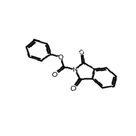 O=C(Oc1ccccc1)N1C(=O)c2ccccc2C1=O